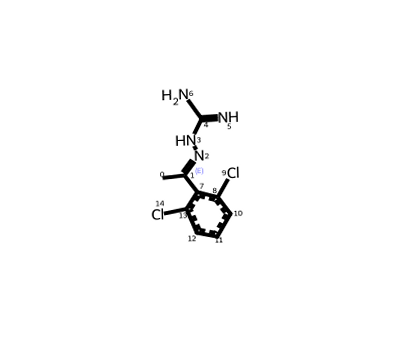 C/C(=N\NC(=N)N)c1c(Cl)cccc1Cl